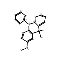 COc1ccc2c(c1)C(C)(C)c1ccccc1N2c1ccccc1